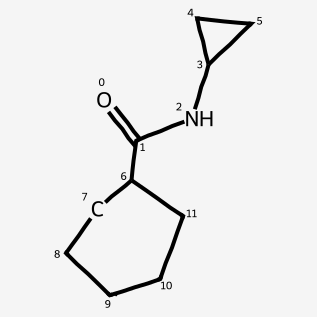 O=C(NC1CC1)C1CC[CH]CC1